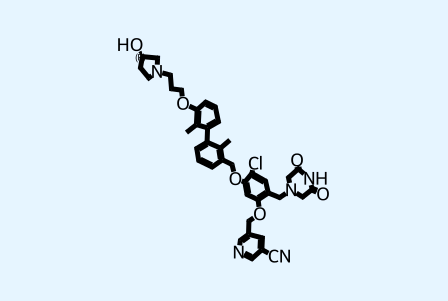 Cc1c(COc2cc(OCc3cncc(C#N)c3)c(CN3CC(=O)NC(=O)C3)cc2Cl)cccc1-c1cccc(OCCCN2CC[C@@H](O)C2)c1C